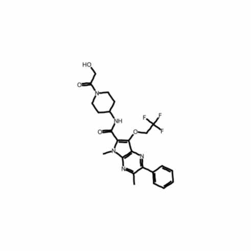 Cc1nc2c(nc1-c1ccccc1)c(OCC(F)(F)F)c(C(=O)NC1CCN(C(=O)CO)CC1)n2C